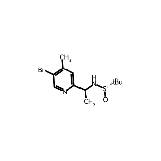 Cc1cc([C@H](C)N[S@@+]([O-])C(C)(C)C)ncc1Br